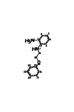 Nc1ccccc1NCCOc1ccccc1